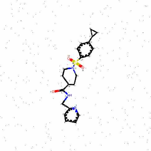 O=C(NCc1ccccn1)C1CCN(S(=O)(=O)c2ccc(C3CC3)cc2)CC1